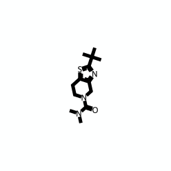 CN(C)C(=O)N1CCc2sc(C(C)(C)C)nc2C1